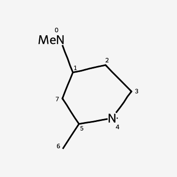 CNC1CC[N]C(C)C1